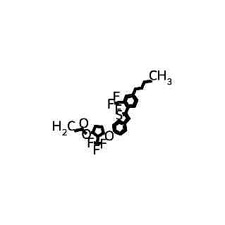 C=CC(=O)OC1CCC(Oc2ccc3cc(-c4ccc(CCCCC)cc4C(F)(F)F)sc3c2)C1C(F)(F)F